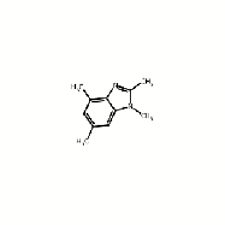 Cc1cc(C)c2nc(C)n(C)c2c1